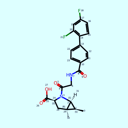 C[C@@H]1[C@@H]2N(C(=O)CNC(=O)c3ccc(-c4ccc(F)cc4F)cc3)[C@H](C(=O)O)C[C@]12C